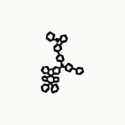 c1ccc(-c2ccc(N(c3ccc(-c4ccc5c(c4)c4ccccc4n5-c4ccccc4)cc3)c3ccc4c(c3)-c3ccccc3C43c4ccccc4C(c4ccccc4)(c4ccccc4)c4ccccc43)cc2)cc1